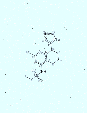 CCS(=O)(=O)Nc1cc(F)cc2c1CCCC2c1c[nH]cn1